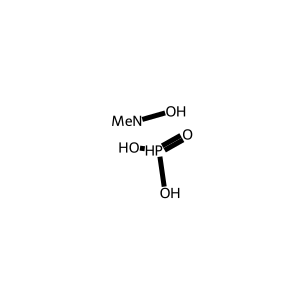 CNO.O=[PH](O)O